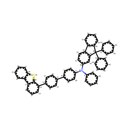 c1ccc(N(c2ccc(-c3ccc(-c4cccc5c4sc4ccccc45)cc3)cc2)c2ccc3c(c2)C(c2ccccc2)(c2ccccc2)c2ccccc2-3)cc1